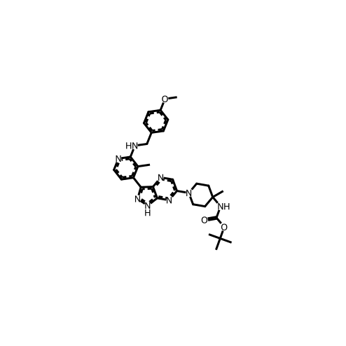 COc1ccc(CNc2nccc(-c3n[nH]c4nc(N5CCC(C)(NC(=O)OC(C)(C)C)CC5)cnc34)c2C)cc1